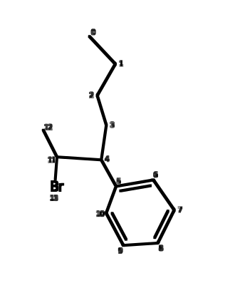 CCCCC(c1ccccc1)C(C)Br